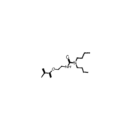 C=C(C)C(=C)OCCNC(=O)N(CCCC)CCCC